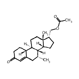 CC(=O)OC[C@@H]1CC[C@@H]2[C@H]3[C@H](CC[C@]12C)[C@H]1CCC(=O)C=C1C[C@H]3C